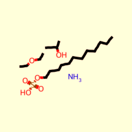 CC(C)O.CCCCCCCCCCCCOS(=O)(=O)O.CCOCC.N